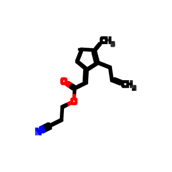 C=CCC1=C(C)[CH]CC1=CC(=O)OCCC#N